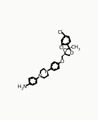 C[C@]1(c2ccc(Cl)cc2Cl)OC[C@@H](COc2ccc(N3CCN(c4ccc(N)cc4)CC3)cc2)O1